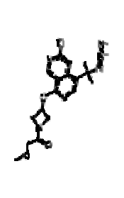 COCC(=O)N1CC(Oc2ncc(C(C)(C)N=[N+]=[N-])c3cc(Cl)ncc23)C1